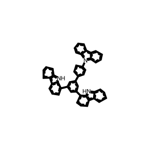 c1ccc2c(c1)[nH]c1c(-c3cc(-c4ccc(-n5c6ccccc6c6ccccc65)cc4)cc(-c4cccc5c4[nH]c4ccccc45)c3)cccc12